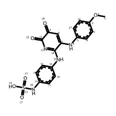 COc1ccc(NC2=CC(=O)C(=O)N=C2Nc2ccc(NS(=O)(=O)O)cc2)cc1